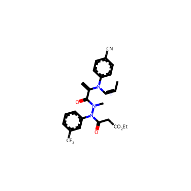 C=C(C(=O)N(C)N(C(=O)CC(=O)OCC)c1cccc(C(F)(F)F)c1)N(/C=C\C)c1ccc(C#N)cc1